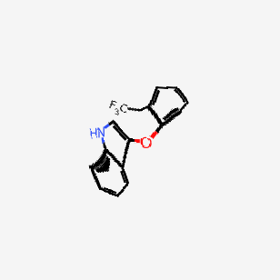 FC(F)(F)c1ccccc1Oc1c[nH]c2ccccc12